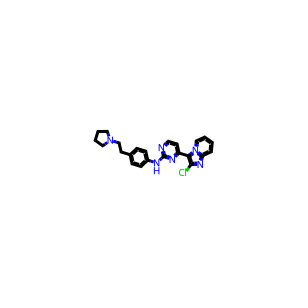 Clc1nc2ccccn2c1-c1ccnc(Nc2ccc(CCN3CCCC3)cc2)n1